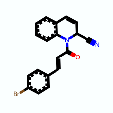 N#CC1C=Cc2ccccc2N1C(=O)C=Cc1ccc(Br)cc1